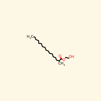 CCCCCCCCCCCCCCCC(C)C(=O)OCCO